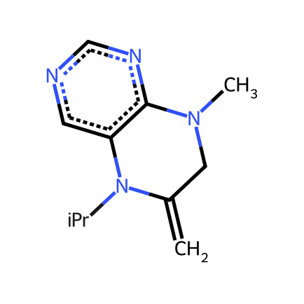 C=C1CN(C)c2ncncc2N1C(C)C